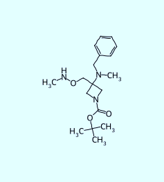 CNOCC1(N(C)Cc2ccccc2)CN(C(=O)OC(C)(C)C)C1